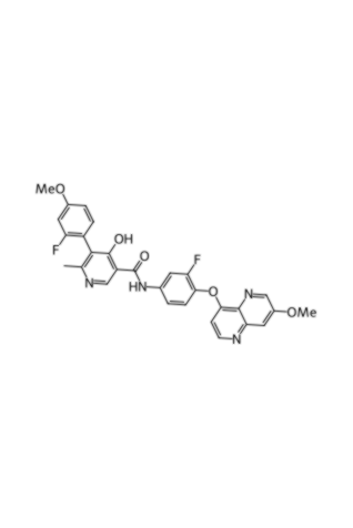 COc1ccc(-c2c(C)ncc(C(=O)Nc3ccc(Oc4ccnc5cc(OC)cnc45)c(F)c3)c2O)c(F)c1